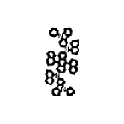 C1=CC2C=CC=C(N(c3ccc4c(-c5cccc6ccccc56)c5cc(N(c6ccc7c(c6)c6ccccc6n7-c6ccccc6)c6cccc7ccccc67)ccc5c(-c5cccc6ccccc56)c4c3)c3ccc4c(c3)c3ccccc3n4-c3ccccc3)C2C=C1